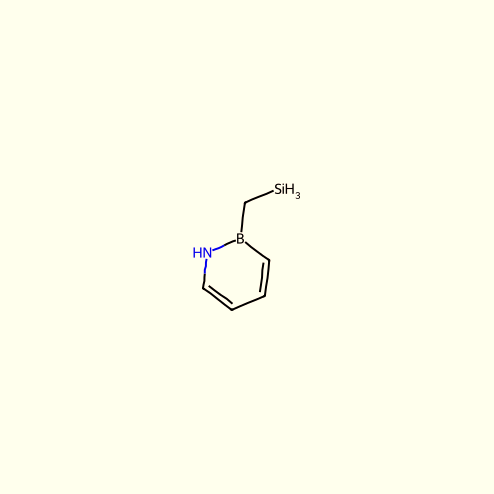 [SiH3]CB1C=CC=CN1